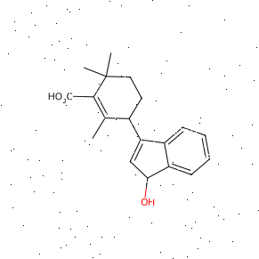 CC1=C(C(=O)O)C(C)(C)CCC1C1=CC(O)c2ccccc21